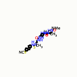 CNC(=O)NCC(C)(C)CNC(=O)Nc1ccc(CNC(=O)NCCCN(C)C(=S)Nc2ccc3c(c2)Cc2cc(SC#N)ccc2-3)cc1